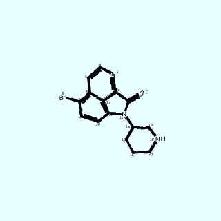 O=C1c2nccc3c(Br)ccc(c23)N1C1CCCNC1